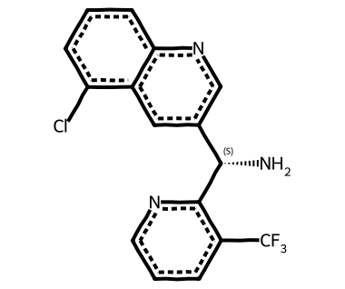 N[C@@H](c1cnc2cccc(Cl)c2c1)c1ncccc1C(F)(F)F